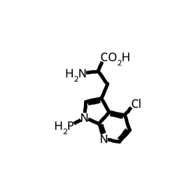 NC(Cc1cn(P)c2nccc(Cl)c12)C(=O)O